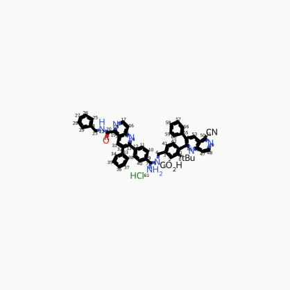 CC(C)(C)c1cc(CN(C(=O)O)C(N)c2ccc(-c3nc4ccnc(C(=O)NCc5ccccc5)c4cc3-c3ccccc3)cc2)ccc1-c1nc2ccnc(C#N)c2cc1-c1ccccc1.Cl